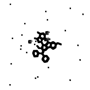 CCc1ccc2c(c1)[C]([Zr+2])=c1c-2cc(=C(c2ccccc2)c2ccccc2)c(CC)c1C1C=C(C)c2c(C)cccc21.[Cl-].[Cl-]